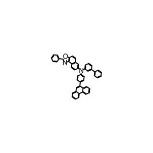 c1ccc(-c2cccc(N(c3ccc(-c4cc5ccccc5c5ccccc45)cc3)c3ccc4c(ccc5oc(-c6ccccc6)nc54)c3)c2)cc1